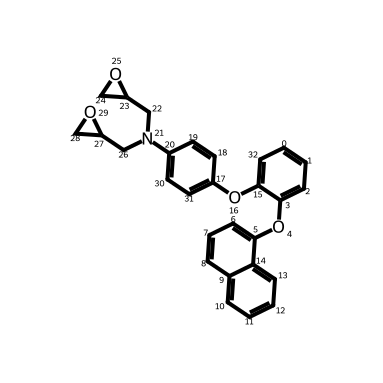 c1ccc(Oc2cccc3ccccc23)c(Oc2ccc(N(CC3CO3)CC3CO3)cc2)c1